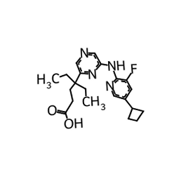 CCC(CC)(CCC(=O)O)c1cncc(Nc2ncc(C3CCC3)cc2F)n1